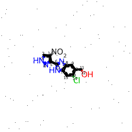 O=[N+]([O-])c1c[nH]nc1-c1nc2cc(CO)c(Cl)cc2[nH]1